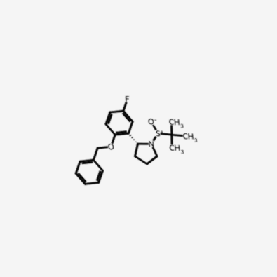 CC(C)(C)[S+]([O-])N1CCC[C@@H]1c1cc(F)ccc1OCc1ccccc1